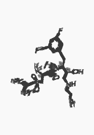 CCCC(CCC)S(=O)(=O)C[C@@H](N)C(=O)N[C@@H](Cc1cc(F)cc(F)c1)[C@H](O)CNCCC(C)C